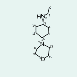 CCN[C@H]1CC[C@H](N2CCOCC2)CC1